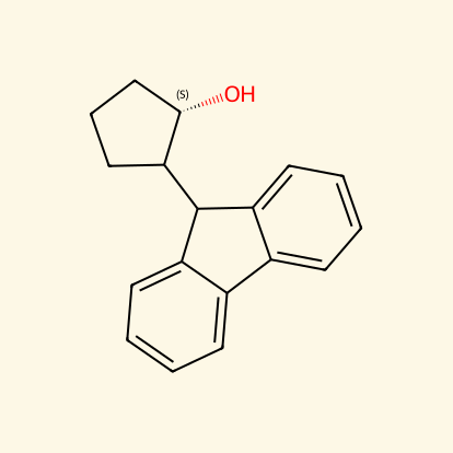 O[C@H]1CCCC1C1c2ccccc2-c2ccccc21